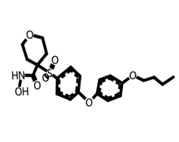 CCCCOc1ccc(Oc2ccc(S(=O)(=O)C3(C(=O)NO)CCOCC3)cc2)cc1